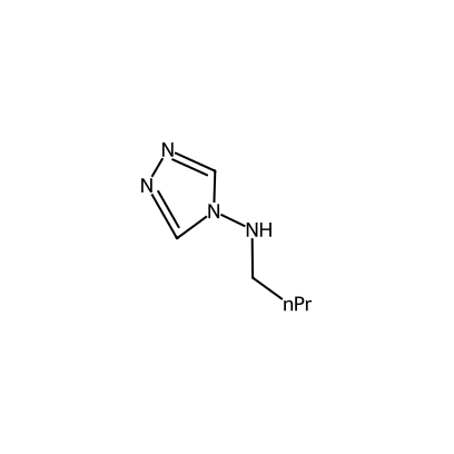 CCCCNn1cnnc1